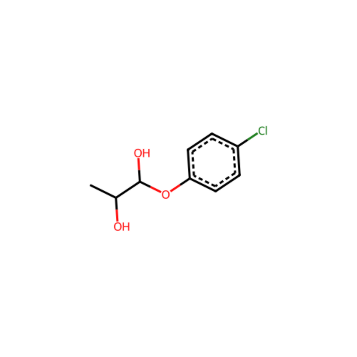 CC(O)C(O)Oc1ccc(Cl)cc1